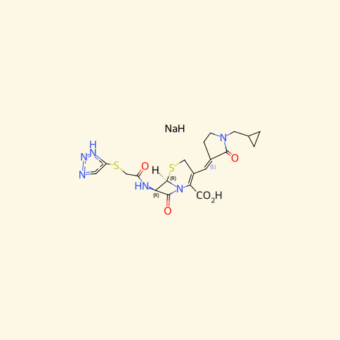 O=C(CSc1cnn[nH]1)N[C@@H]1C(=O)N2C(C(=O)O)=C(/C=C3\CCN(CC4CC4)C3=O)CS[C@H]12.[NaH]